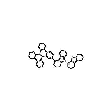 C1=Cc2c(sc3ccccc23)[C@@H](n2c3c(c4ccccc42)C(c2ccc4c5ccccc5c5c6ccccc6c6ccccc6c5c4c2)=CCC3)C1